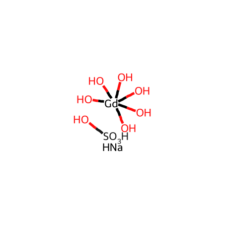 O=S(=O)(O)O.[NaH].[OH][Gd]([OH])([OH])([OH])([OH])[OH]